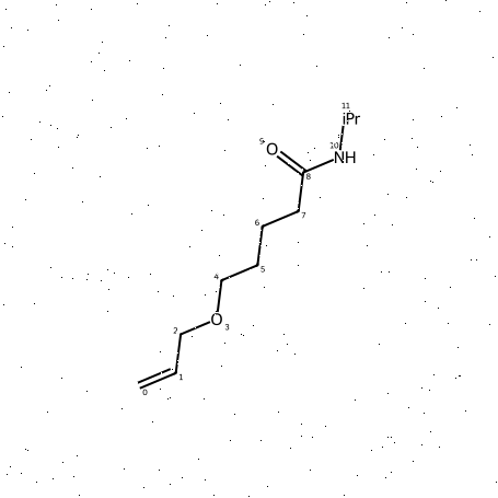 C=CCOCCCCC(=O)NC(C)C